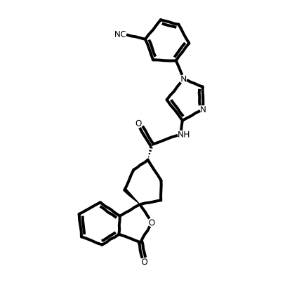 N#Cc1cccc(-n2cnc(NC(=O)[C@H]3CC[C@@]4(CC3)OC(=O)c3ccccc34)c2)c1